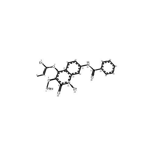 CC=C(CC)Oc1c(OCCCCCC)c(=O)n(CC)c2cc(NC(=O)c3ccccc3)ccc12